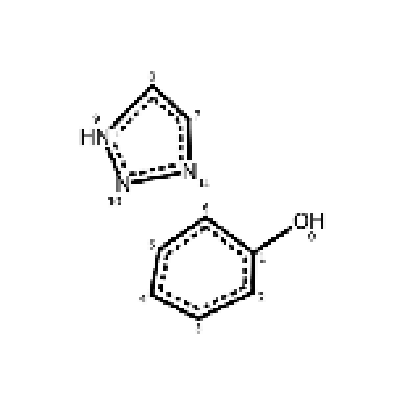 Oc1ccccc1.c1c[nH]nn1